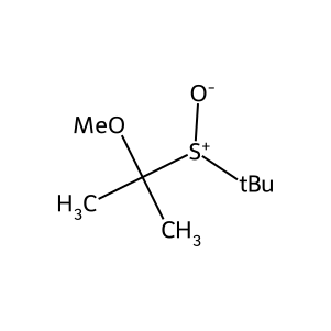 COC(C)(C)[S+]([O-])C(C)(C)C